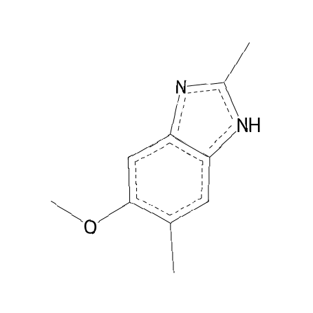 COc1cc2nc(C)[nH]c2cc1C